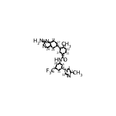 Cc1cn(-c2cc(NC(=O)c3ccc(C)c(-c4ccc5nc(N)ncc5c4)c3)cc(C(F)(F)F)c2)cn1